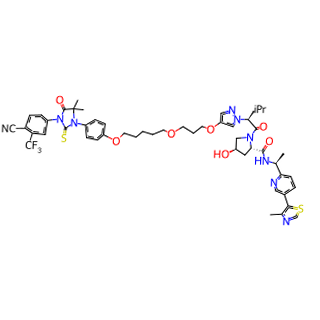 Cc1ncsc1-c1ccc([C@H](C)NC(=O)[C@@H]2C[C@@H](O)CN2C(=O)[C@H](C(C)C)n2cc(OCCCOCCCCCOc3ccc(N4C(=S)N(c5ccc(C#N)c(C(F)(F)F)c5)C(=O)C4(C)C)cc3)cn2)nc1